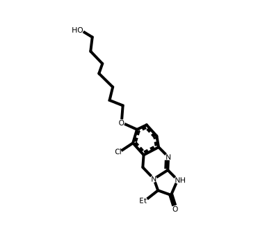 CCC1C(=O)NC2=Nc3ccc(OCCCCCCCO)c(Cl)c3CN21